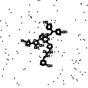 CCn1nnc([C@H]2O[C@@H](n3cnc4c(NCC(c5ccc(O)cc5)c5ccc(O)cc5)nc(N5CC[C@@H](NC(=O)NCc6cccc(O)c6)C5)nc43)[C@H](O)[C@@H]2O)n1